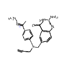 C#CCN(Cc1ccc2nc(N)[nH]c(=O)c2c1)c1ccc(/C(C)=N/N)cc1